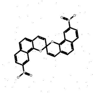 O=[N+]([O-])c1ccc2ccc3c(c2c1)OC1(C=C3)C=Cc2ccc3ccc([N+](=O)[O-])cc3c2O1